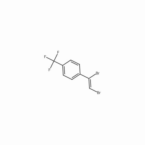 FC(F)(F)c1ccc(C(Br)=CBr)cc1